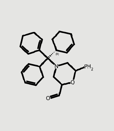 O=CC1CN(C(C2=CCCC=C2)(C2C=CC=CC2)[C@H]2C=CCCC2)CC(P)O1